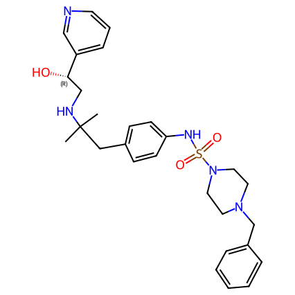 CC(C)(Cc1ccc(NS(=O)(=O)N2CCN(Cc3ccccc3)CC2)cc1)NC[C@H](O)c1cccnc1